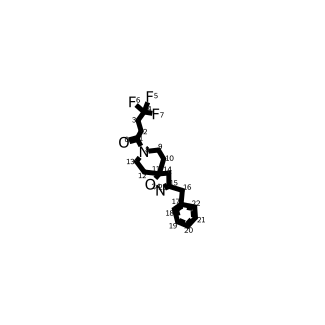 O=C(CCC(F)(F)F)N1CCC2(CC1)CC(Cc1ccccc1)=NO2